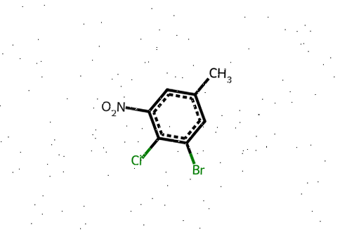 Cc1cc(Br)c(Cl)c([N+](=O)[O-])c1